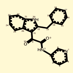 O=C(Nc1cccnc1)C(=O)c1c(Cc2ccccc2)[nH]c2ccccc12